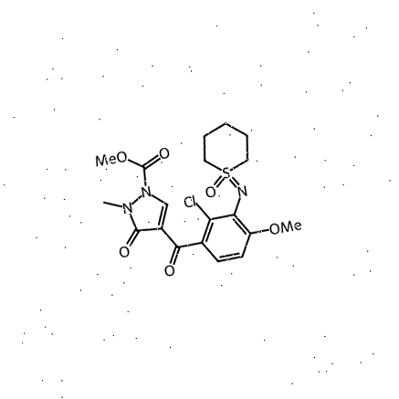 COC(=O)n1cc(C(=O)c2ccc(OC)c(N=S3(=O)CCCCC3)c2Cl)c(=O)n1C